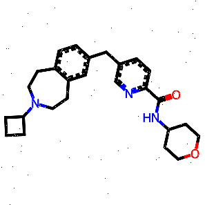 O=C(NC1CCOCC1)c1ccc(Cc2ccc3c(c2)CCN(C2CCC2)CC3)cn1